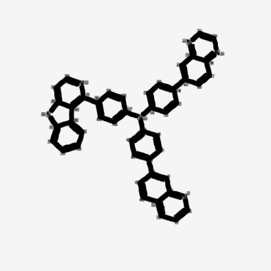 c1cnc2cc(-c3ccc(N(c4ccc(-c5ccc6nccnc6c5)cc4)c4ccc(-c5nccc6sc7ccccc7c56)cc4)cc3)ccc2c1